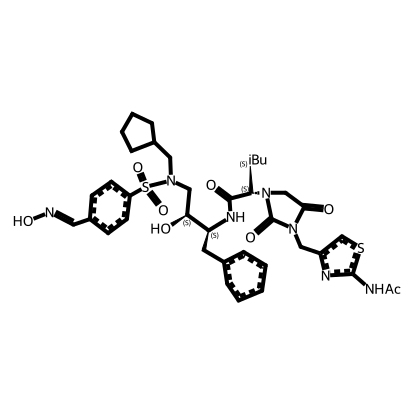 CC[C@H](C)[C@@H](C(=O)N[C@@H](Cc1ccccc1)[C@@H](O)CN(CC1CCCC1)S(=O)(=O)c1ccc(C=NO)cc1)N1CC(=O)N(Cc2csc(NC(C)=O)n2)C1=O